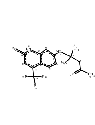 CC(=O)CC(C)(C)Nc1ccc2c(C(F)(F)F)cc(=O)[nH]c2c1